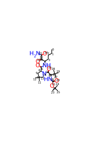 CCCCC(NC(=O)C1CC(C)(C)CN1C(=O)[C@@H](NC(=O)OC(C)(C)C)C(C)(C)C)C(=O)C(N)=O